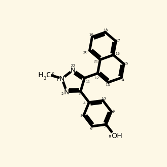 Cn1nc(-c2ccc(O)cc2)c(-c2cccc3ccccc23)n1